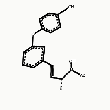 CC(=O)N(O)[C@H](C)C=Cc1cccc(Oc2ccc(C#N)cc2)c1